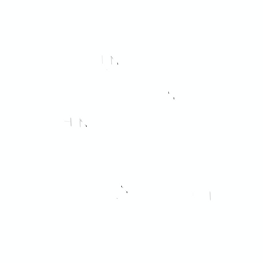 Nc1ncc(O)c(N)c1N